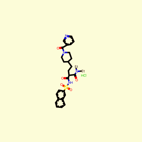 CCN(CC)C(=O)C(CCC1CCN(C(=O)c2cccnc2)CC1)C(=O)NS(=O)(=O)c1ccc2ccccc2c1.Cl